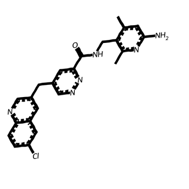 Cc1cc(N)nc(C)c1CNC(=O)c1cc(Cc2cnc3ccc(Cl)cc3c2)cnn1